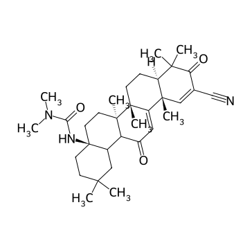 CN(C)C(=O)N[C@]12CCC(C)(C)CC1C1C(=O)C=C3[C@@]4(C)C=C(C#N)C(=O)C(C)(C)[C@@H]4CC[C@@]3(C)[C@]1(C)CC2